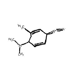 CC1=CC(=[N+]=[N-])C=CC1N(C)C